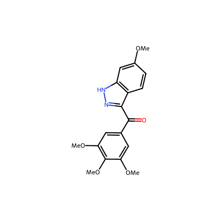 COc1ccc2c(C(=O)c3cc(OC)c(OC)c(OC)c3)n[nH]c2c1